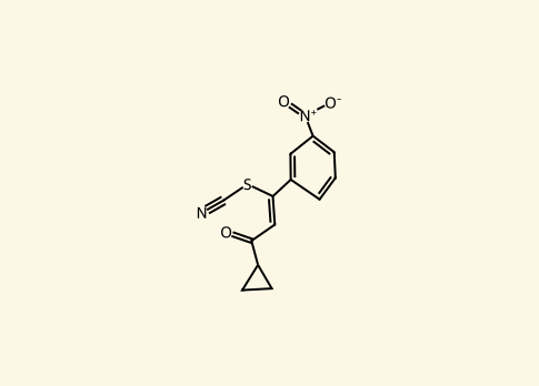 N#CS/C(=C\C(=O)C1CC1)c1cccc([N+](=O)[O-])c1